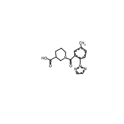 Cc1ccc(-n2nccn2)c(C(=O)N2CCCC(C(=O)O)C2)c1